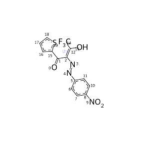 O=C(/C(N=Nc1ccc([N+](=O)[O-])cc1)=C(/O)C(F)(F)F)c1cccs1